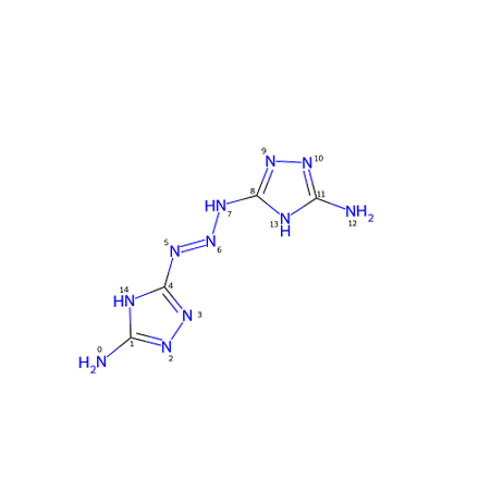 Nc1nnc(N=NNc2nnc(N)[nH]2)[nH]1